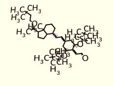 C[C@@H](OCCC(C)(C)C)C1CCC2/C(=C/C=C3C[C@@H](O[Si](C)(C)C(C)(C)C)C(=CC=O)[C@H](O[Si](C)(C)C(C)(C)C)C3)CCCC21C